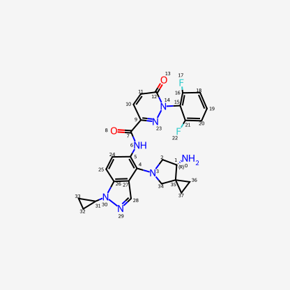 N[C@H]1CN(c2c(NC(=O)c3ccc(=O)n(-c4c(F)cccc4F)n3)ccc3c2cnn3C2CC2)CC12CC2